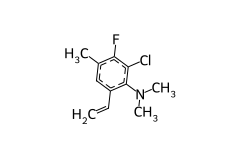 C=Cc1cc(C)c(F)c(Cl)c1N(C)C